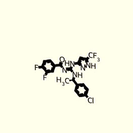 C[C@@H](N/C(=N/C(=O)c1ccc(F)c(F)c1)Nc1cc(C(F)(F)F)[nH]n1)c1ccc(Cl)cc1